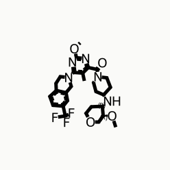 COc1nc(C(=O)N2CCC(N[C@@H]3CCOC[C@@H]3OC)CC2)c(C)c(N2CCc3ccc(C(F)(F)F)cc3C2)n1